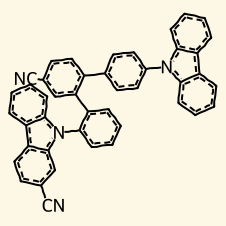 N#Cc1ccc(-c2ccc(-n3c4ccccc4c4ccccc43)cc2)c(-c2ccccc2-n2c3ccccc3c3ccc(C#N)cc32)c1